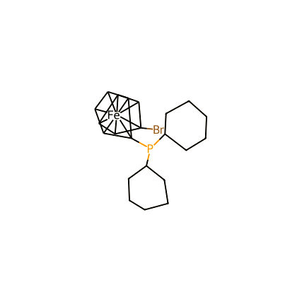 Br[C]12[CH]3[CH]4[CH]5[CH]1[Fe]45321678[CH]2[CH]1[CH]6[C]7(P(C1CCCCC1)C1CCCCC1)[CH]28